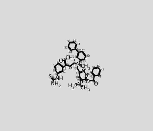 Cc1oc2ccc(NC(N)=S)cc2c1CC[N+](C)(Cc1cc(N(C)C)cnn1)c1cccc(-c2ccccc2)c1.O=C(O)c1ccccc1